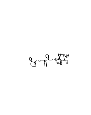 O=C(CCn1cnc2c(=O)[nH]cnc21)NCCCN1CCCC1=O